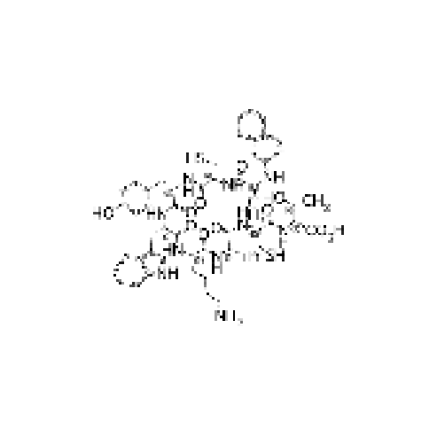 CC(C)[C@H](NC(=O)[C@H](CCCCN)NC(=O)[C@H](Cc1c[nH]c2ccccc12)NC(=O)[C@H](Cc1ccc(O)cc1)NC(=O)[C@H](CS)NC(=O)[C@H](C)Nc1ccc2ccccc2c1)C(=O)N[C@@H](CS)C(=O)N[C@H](C(=O)O)[C@@H](C)O